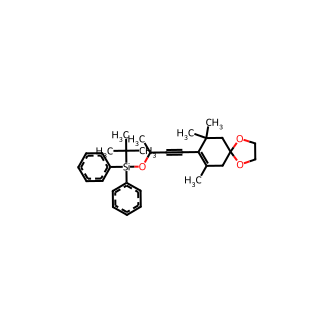 CC1=C(C#CC(C)O[Si](c2ccccc2)(c2ccccc2)C(C)(C)C)C(C)(C)CC2(C1)OCCO2